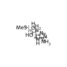 CSCCC(O)C(O)C(N)c1c[nH]c2c(N)ncnc12